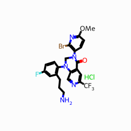 COc1ccc(N2CN(c3ccc(F)cc3CCCN)c3cnc(C(F)(F)F)cc3C2=O)c(Br)n1.Cl